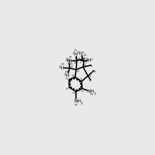 [2H]C([2H])([2H])C1(C)C(C)(C)c2c(ccc(N)c2N)C1(C([2H])([2H])[2H])C([2H])([2H])[2H]